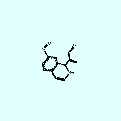 C=C(C=O)C1NC=Cc2ccc(N=O)cc21